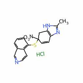 Cc1nc2c([nH]1)CC(Sc1cccc3cnccc13)([N+](=O)[O-])C=C2.Cl